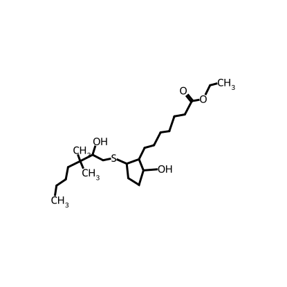 CCCCC(C)(C)C(O)CSC1CCC(O)C1CCCCCCC(=O)OCC